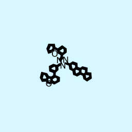 c1cc(-c2nc(-c3ccc4c(ccc5c6ccccc6ccc45)c3)nc(-c3cccc4c3oc3ccccc34)n2)cc(-c2cccc3oc4ccccc4c23)c1